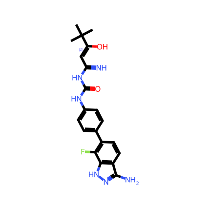 CC(C)(C)/C(O)=C/C(=N)NC(=O)Nc1ccc(-c2ccc3c(N)n[nH]c3c2F)cc1